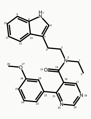 CCN(CCc1c[nH]c2ccccc12)C(=O)c1cncnc1-c1cccc(OC)c1